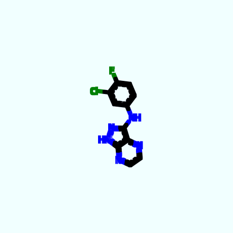 Fc1ccc(Nc2n[nH]c3nccnc23)cc1Cl